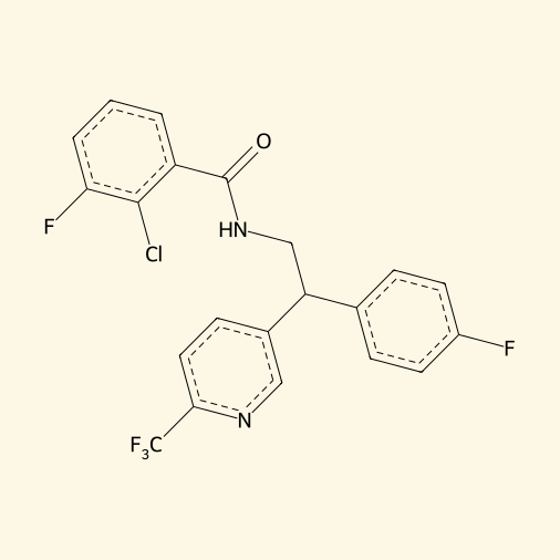 O=C(NCC(c1ccc(F)cc1)c1ccc(C(F)(F)F)nc1)c1cccc(F)c1Cl